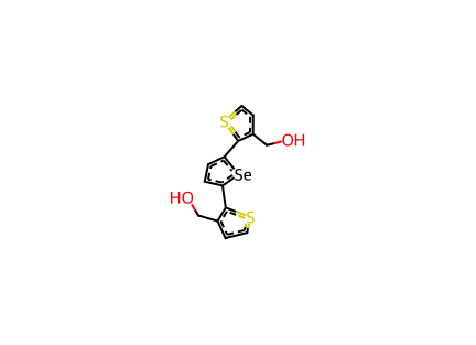 OCc1ccsc1-c1ccc(-c2sccc2CO)[se]1